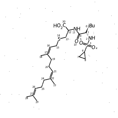 CC[C@H](C)[C@H](NS(=O)(=O)C1CC1)C(=O)NC(CSCC=C(C)CCC=C(C)CCC=C(C)C)C(=O)O